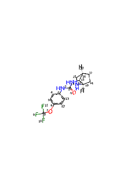 O=C(Nc1ccc(OC(F)(F)F)cc1)NC1[C@@H]2CC[C@H]1NC2